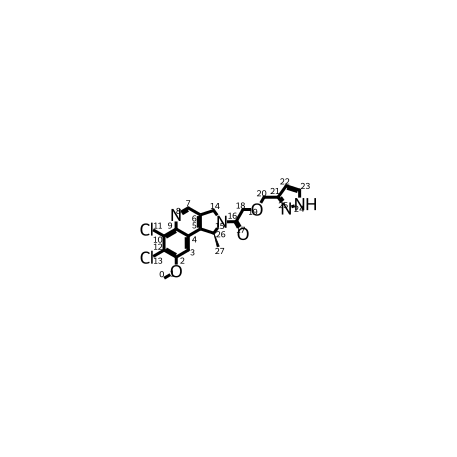 COc1cc2c3c(cnc2c(Cl)c1Cl)CN(C(=O)COCc1cc[nH]n1)[C@H]3C